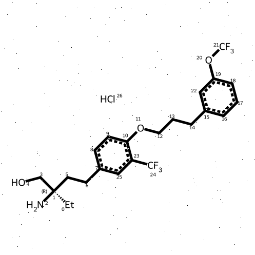 CC[C@](N)(CO)CCc1ccc(OCCCc2cccc(OC(F)(F)F)c2)c(C(F)(F)F)c1.Cl